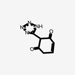 O=C1C=CCC(=O)C1c1nnn[nH]1